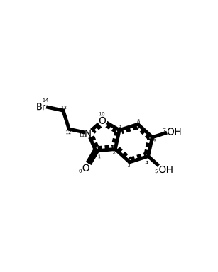 O=c1c2cc(O)c(O)cc2on1CCBr